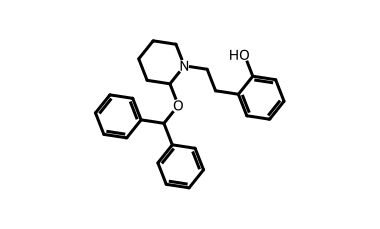 Oc1ccccc1CCN1CCCCC1OC(c1ccccc1)c1ccccc1